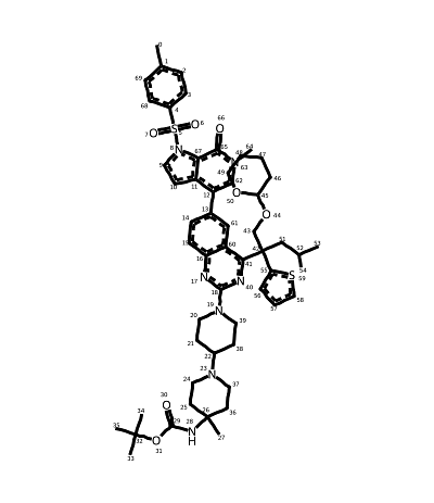 Cc1ccc(S(=O)(=O)n2ccc3c(-c4ccc5nc(N6CCC(N7CCC(C)(NC(=O)OC(C)(C)C)CC7)CC6)nc(C(COC6CCCCO6)(CC(C)C)c6cccs6)c5c4)cn(C)c(=O)c32)cc1